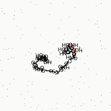 CO[C@@H](CCC1C=C(C#CNC(=O)OCCCCOCSSC(C)(C)CCOC(=O)NCCOCCOCCNC(=O)c2ccc(C(=O)O)c(-c3c4ccc(=N)c(S(=O)(=O)O)c-4oc4c(S(=O)(=O)O)c(N)ccc34)c2)C(N)=NC1=O)COP(=O)(O)OP(=O)(O)OP(=O)(O)O